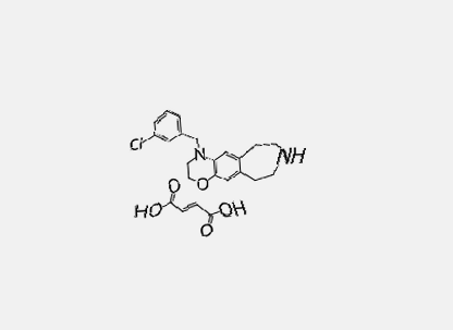 Clc1cccc(CN2CCOc3cc4c(cc32)CCNCC4)c1.O=C(O)C=CC(=O)O